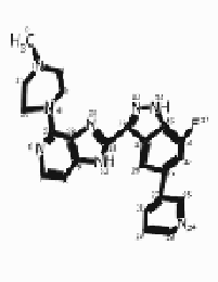 CN1CCN(c2nccc3[nH]c(-c4n[nH]c5c(F)cc(-c6cccnc6)cc45)nc23)CC1